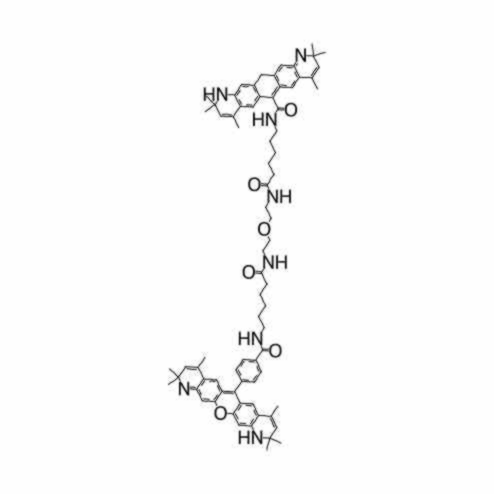 CC1=CC(C)(C)Nc2cc3c(cc21)C(C(=O)NCCCCCC(=O)NCCOCCNC(=O)CCCCCNC(=O)c1ccc(C2=c4cc5c(cc4Oc4cc6c(cc42)C(C)=CC(C)(C)N6)=NC(C)(C)C=C5C)cc1)=c1cc2c(cc1C3)=NC(C)(C)C=C2C